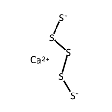 [Ca+2].[S-]SSS[S-]